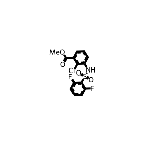 COC(=O)c1cccc(NS(=O)(=O)c2c(F)cccc2F)c1Cl